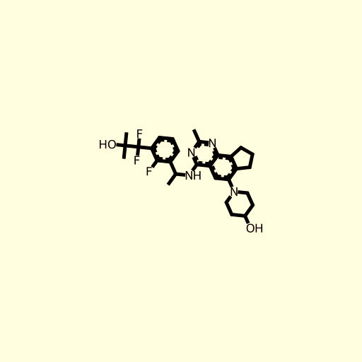 Cc1nc(NC(C)c2cccc(C(F)(F)C(C)(C)O)c2F)c2cc(N3CCC(O)CC3)c3c(c2n1)CCC3